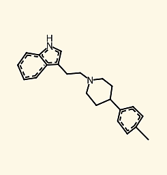 Cc1ccc(C2CCN(CCc3c[nH]c4ccccc34)CC2)cc1